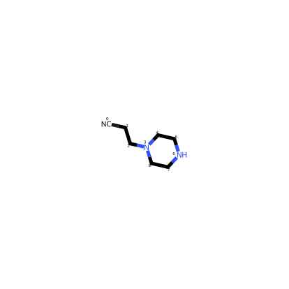 N#CCCN1[CH]CNCC1